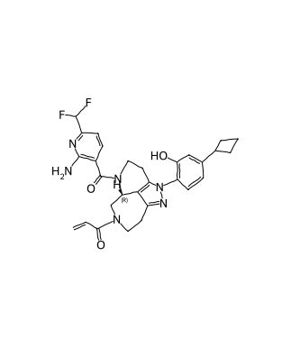 C=CC(=O)N1CCc2nn(-c3ccc(C4CCC4)cc3O)c3c2[C@H](C1)N(C(=O)c1ccc(C(F)F)nc1N)CC3